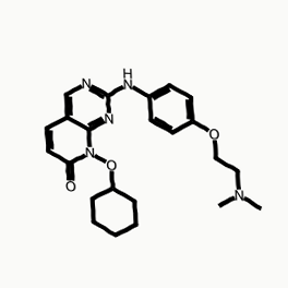 CN(C)CCOc1ccc(Nc2ncc3ccc(=O)n(OC4CCCCC4)c3n2)cc1